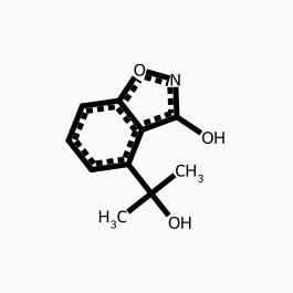 CC(C)(O)c1cccc2onc(O)c12